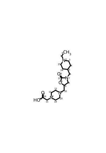 CCN1CCC(CN2CC(CN3CCN(CC(=O)O)CC3)OC2=O)CC1